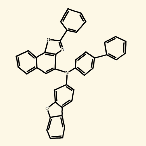 c1ccc(-c2ccc(N(c3ccc4c(c3)oc3ccccc34)c3cc4ccccc4c4oc(-c5ccccc5)nc34)cc2)cc1